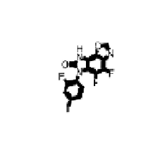 O=c1[nH]c2c3ocnc3c(F)c(F)c2n1-c1ccc(I)cc1F